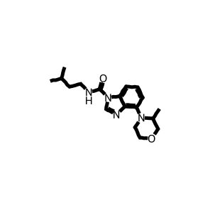 CC(C)CCNC(=O)n1cnc2c(N3CCOCC3C)cccc21